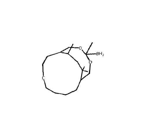 BC1(C)OCC2CCCCCCCC(CO1)C(C)(C)CC2C